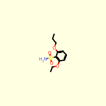 CCCOc1cccc(OCC)c1S(N)(=O)=O